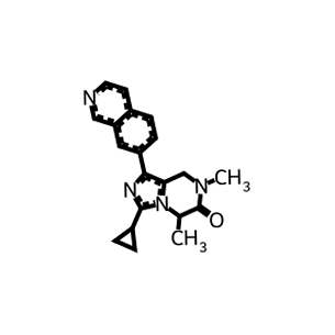 CC1C(=O)N(C)Cc2c(-c3ccc4ccncc4c3)nc(C3CC3)n21